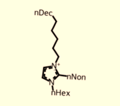 CCCCCCCCCCCCCCC[n+]1ccn(CCCCCC)c1CCCCCCCCC